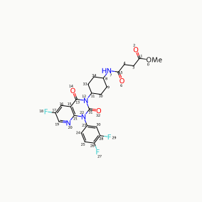 COC(=O)CCC(=O)NC1CCC(n2c(=O)c3cc(F)cnc3n(-c3ccc(F)c(F)c3)c2=O)CC1